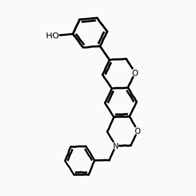 Oc1cccc(C2=Cc3cc4c(cc3OC2)OCN(Cc2ccccc2)C4)c1